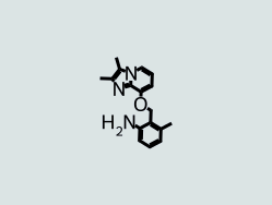 Cc1cccc(N)c1COc1cccn2c(C)c(C)nc12